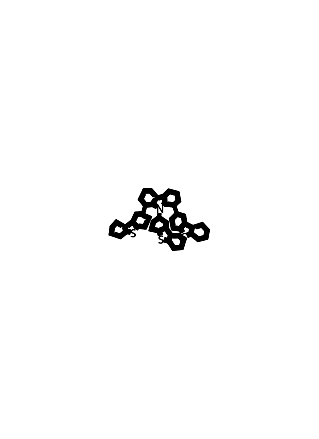 c1ccc2c(c1)sc1ccc(-c3cccc4c5cccc(-c6ccc7sc8ccccc8c7c6)c5n(-c5ccc6sc7ccccc7c6c5)c34)cc12